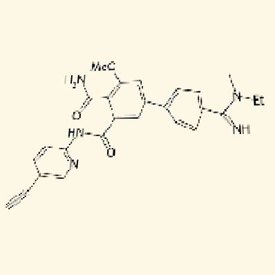 C#Cc1ccc(NC(=O)c2cc(-c3ccc(C(=N)N(C)CC)cc3)cc(OC)c2C(N)=O)nc1